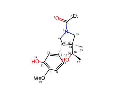 CCC(=O)N1C[C@@H](c2ccc(OC)c(O)c2)[C@](C)([C@@H](C)O)C1